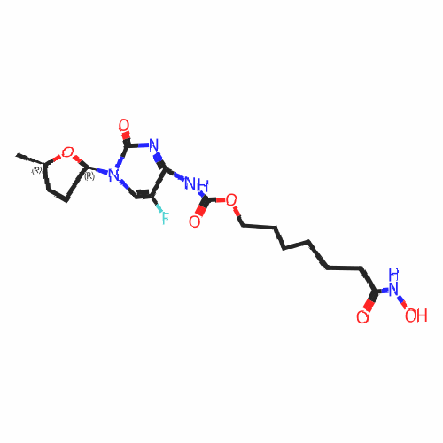 C[C@@H]1CC[C@H](n2cc(F)c(NC(=O)OCCCCCCC(=O)NO)nc2=O)O1